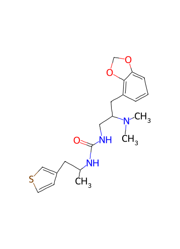 CC(Cc1ccsc1)NC(=O)NCC(Cc1cccc2c1OCO2)N(C)C